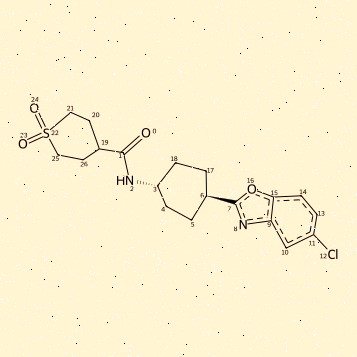 O=C(N[C@H]1CC[C@H](c2nc3cc(Cl)ccc3o2)CC1)C1CCS(=O)(=O)CC1